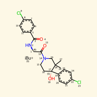 CC[C@H](C)[C@@H](NC(=O)c1ccc(Cl)cc1)C(=O)N1CC[C@](O)(c2ccc(Cl)cc2)C(C)(C)C1